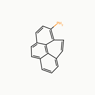 Pc1ccc2ccc3cccc4ccc1c2c34